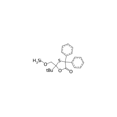 CC(C)(C)C1(CO[SiH3])OC(=O)C(c2ccccc2)(c2ccccc2)S1